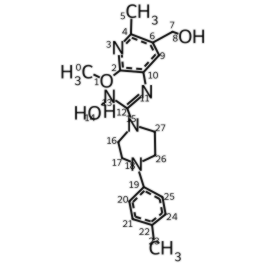 COc1nc(C)c(CO)cc1N=C(NO)N1CCN(c2ccc(C)cc2)CC1